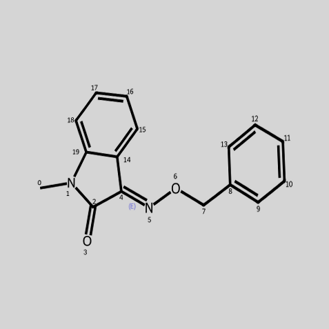 CN1C(=O)/C(=N/OCc2ccccc2)c2ccccc21